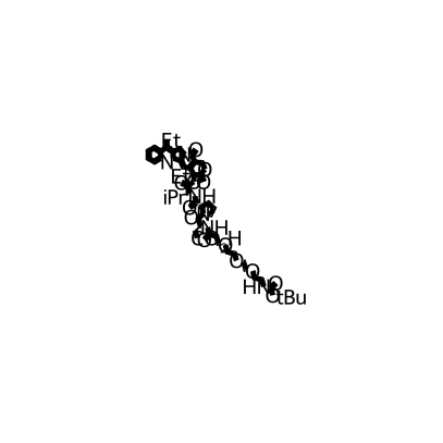 CCc1c2c(nc3ccccc13)-c1cc3c(c(=O)n1C2)COC(=O)[C@@]3(CC)OC(=O)[C@@H](NC(=O)[C@@H]1CCCN1C(=O)[C@H](CC(=O)O)NC(=O)CCOCCOCCOCCNC(=O)OC(C)(C)C)C(C)C